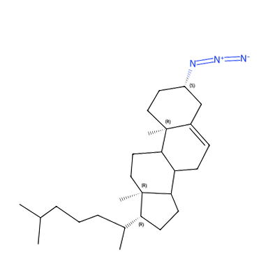 CC(C)CCCC(C)[C@H]1CCC2C3CC=C4C[C@@H](N=[N+]=[N-])CC[C@]4(C)C3CC[C@@]21C